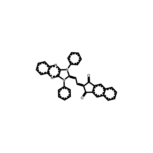 O=C1C(=CC=C2N(c3ccccc3)c3nc4ccccc4nc3N2c2ccccc2)C(=O)c2cc3ccccc3cc21